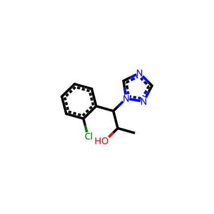 CC(O)C(c1ccccc1Cl)n1cncn1